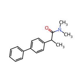 CC(C(=O)N(C)C)c1ccc(-c2ccccc2)cc1